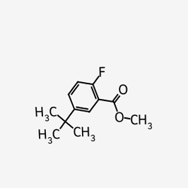 COC(=O)c1cc(C(C)(C)C)ccc1F